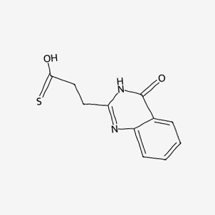 O=c1[nH]c(CCC(O)=S)nc2ccccc12